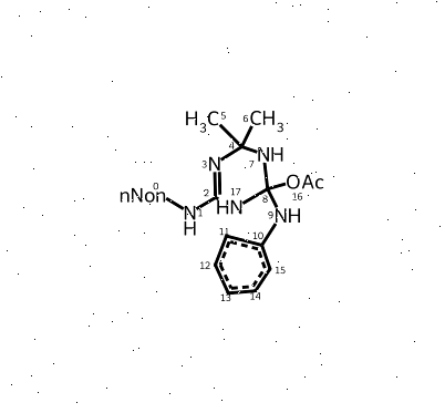 CCCCCCCCCNC1=NC(C)(C)NC(Nc2ccccc2)(OC(C)=O)N1